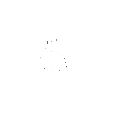 C=C.O=C(O)CO.[BiH3].[Fe]